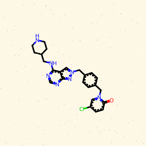 O=c1ccc(Cl)cn1Cc1ccc(Cn2cc3c(NCC4CCNCC4)ncnc3n2)cc1